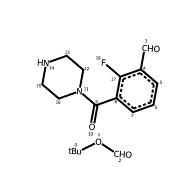 CC(C)(C)OC=O.O=Cc1cccc(C(=O)N2CCNCC2)c1F